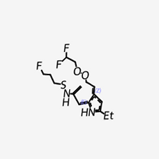 C=C(/C=c1/[nH]c(CC)c/c1=C/COOCC(F)F)NSCCCF